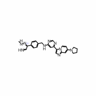 CN/N=C(\C=N)c1ccc(CNc2cc(-c3cnc4cc(N5CCCC5)ccn34)ncn2)cc1